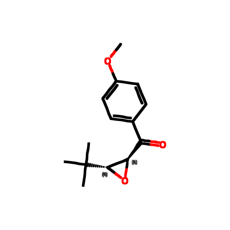 COc1ccc(C(=O)[C@H]2O[C@@H]2C(C)(C)C)cc1